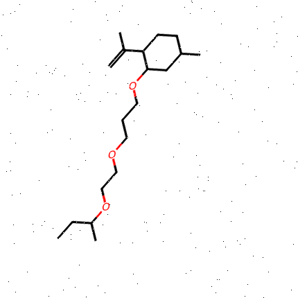 C=C(C)C1CCC(C)CC1OCCCOCCOC(C)CC